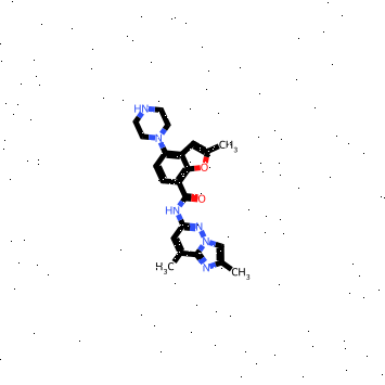 Cc1cn2nc(NC(=O)c3ccc(N4CCNCC4)c4cc(C)oc34)cc(C)c2n1